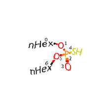 CCCCCCOP(=O)(S)OCCCCCC